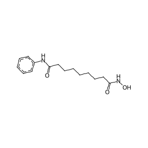 O=C(CCCCCCCC(=O)Nc1ccccc1)NO